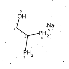 OCC(P)P.[Na]